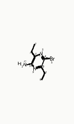 CCc1nc(Br)c(CC)nc1N